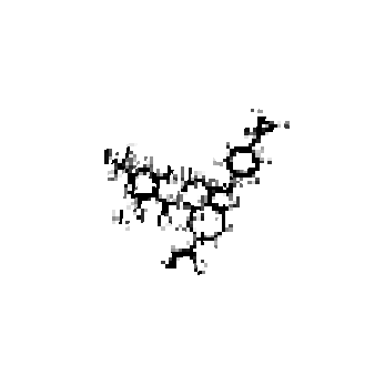 C=CC(=O)N1CCc2nn(-c3ccc(C4CC4)cc3)c3c2C(C1)N(C(=O)c1c(N)cc(C(F)(F)F)nc1N)CC3